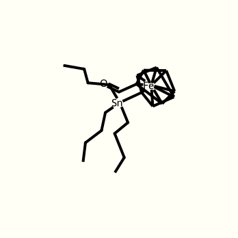 CCC[CH2][Sn]([CH2]CCC)([CH2]CCC)[C]12[CH]3[CH]4[CH]5[CH]1[Fe]45321678[CH]2[CH]1[CH]6[C]7(C=O)[CH]28